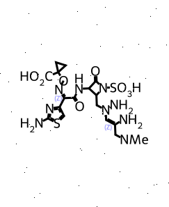 CNC/C(N)=C/N(N)CC1C(NC(=O)/C(=N\OC2(C(=O)O)CC2)c2csc(N)n2)C(=O)N1S(=O)(=O)O